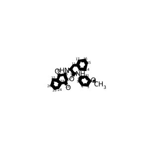 COc1cccc(NC(=O)C(Cc2ccccc2)NC2=CC(=O)c3ccccc3C2=O)c1